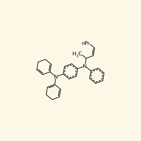 CCC/C=C\C(C)N(c1ccccc1)c1ccc(N(C2=CCCC=C2)C2=CCCC=C2)cc1